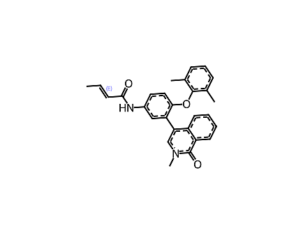 C/C=C/C(=O)Nc1ccc(Oc2c(C)cccc2C)c(-c2cn(C)c(=O)c3ccccc23)c1